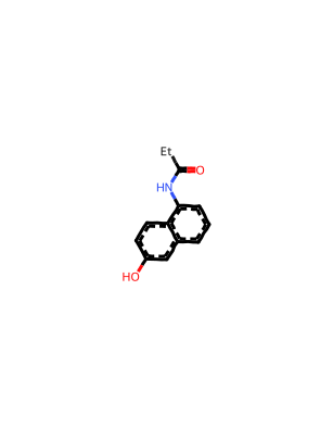 CCC(=O)Nc1cccc2cc(O)ccc12